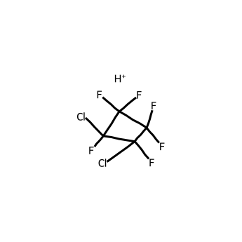 FC1(F)C(F)(F)C(F)(Cl)C1(F)Cl.[H+]